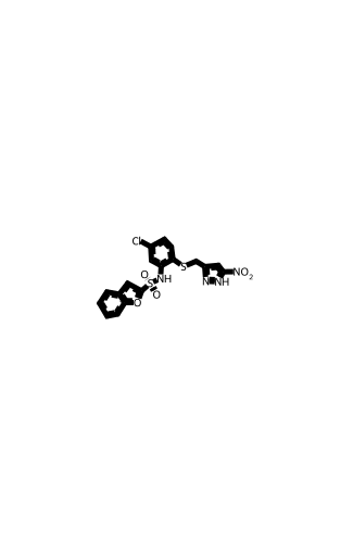 O=[N+]([O-])c1cc(CSc2ccc(Cl)cc2NS(=O)(=O)c2cc3ccccc3o2)n[nH]1